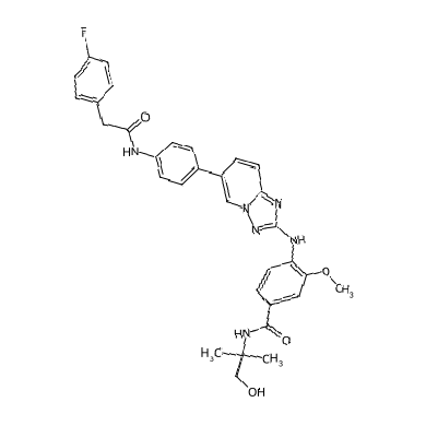 COc1cc(C(=O)NC(C)(C)CO)ccc1Nc1nc2ccc(-c3ccc(NC(=O)Cc4ccc(F)cc4)cc3)cn2n1